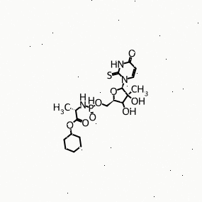 C[C@H](N[PH](=O)OC[C@H]1O[C@@H](n2ccc(=O)[nH]c2=S)[C@](C)(O)C1O)C(=O)OC1CCCCC1